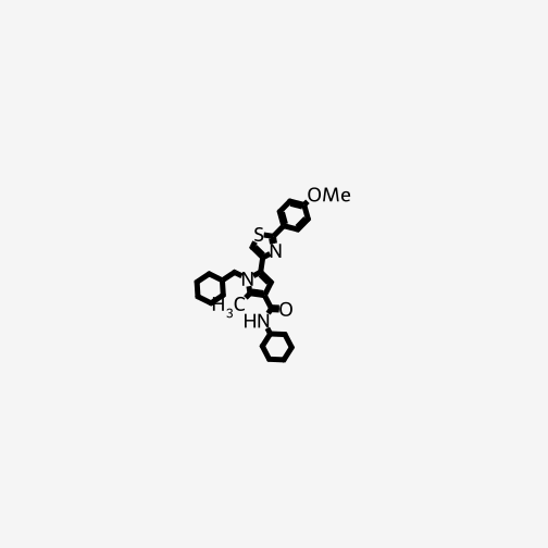 COc1ccc(-c2nc(-c3cc(C(=O)NC4CCCCC4)c(C)n3CC3CCCCC3)cs2)cc1